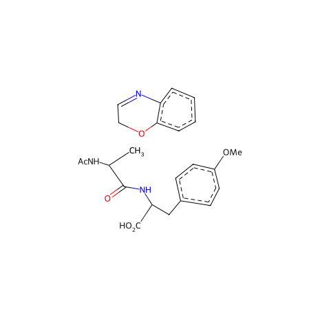 C1=Nc2ccccc2OC1.COc1ccc(CC(NC(=O)C(C)NC(C)=O)C(=O)O)cc1